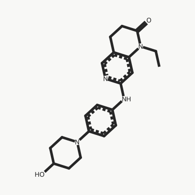 CCN1C(=O)CCc2cnc(Nc3ccc(N4CCC(O)CC4)cc3)cc21